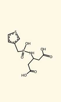 O=C(O)CC(CC(=O)O)NP(=O)(O)Cc1ccsc1